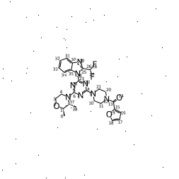 C[C@H]1OCCN(c2nc(N3CCN(C(=O)c4ccco4)CC3)nc(-n3c(C(F)F)nc4ccccc43)n2)[C@H]1C